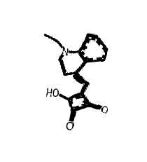 CCN1C=C/C(=C\c2c(O)c(=O)c2=O)c2ccccc21